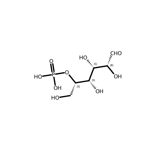 O=C[C@H](O)[C@@H](O)[C@H](O)[C@H](CO)OP(=O)(O)O